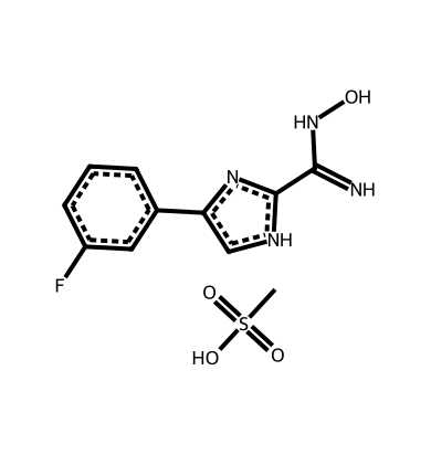 CS(=O)(=O)O.N=C(NO)c1nc(-c2cccc(F)c2)c[nH]1